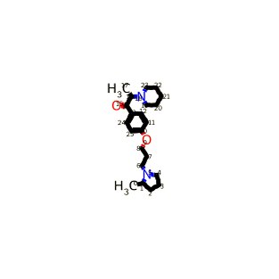 CC1CCCN1CCCOc1ccc(C(=O)C(C)N2CCCCC2)cc1